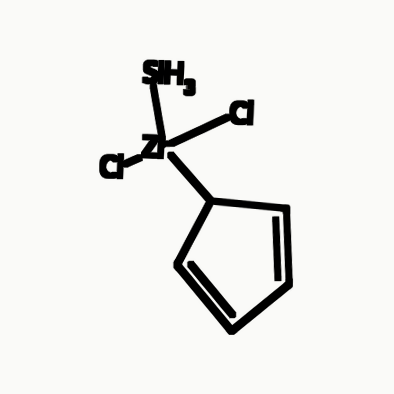 [SiH3][Zr]([Cl])([Cl])[CH]1C=CC=C1